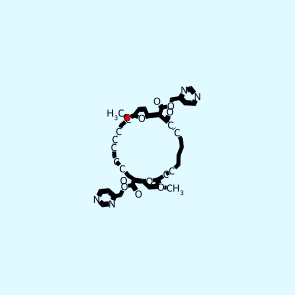 COC12C=C/C(=C(/C(=O)OCc3ccncn3)C(=O)CCCCCCCCC3(OC)C=C/C(=C(\C(=O)OCc4ccncn4)C(=O)CCCCCCCC1)O3)O2